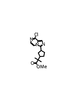 COC(=O)C(C)(C)C1CCC(c2ncc3c(Cl)nccn23)C1